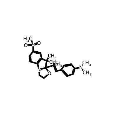 CC(=Cc1ccc(N(C)C)cc1)C12OCCN1c1ccc(S(C)(=O)=O)cc1C2(C)C